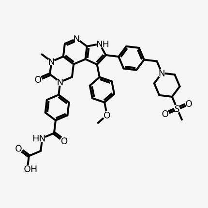 COc1ccc(-c2c(-c3ccc(CN4CCC(S(C)(=O)=O)CC4)cc3)[nH]c3ncc4c(c23)CN(c2ccc(C(=O)NCC(=O)O)cc2)C(=O)N4C)cc1